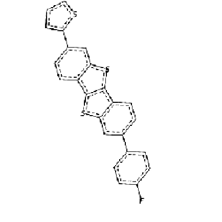 Fc1ccc(-c2ccc3c(c2)sc2c4ccc(-c5cccs5)cc4sc32)cc1